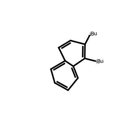 CCC(C)c1ccc2ccccc2c1C(C)CC